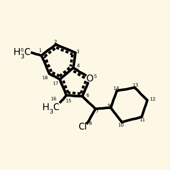 Cc1ccc2oc(C(Cl)C3CCCCC3)c(C)c2c1